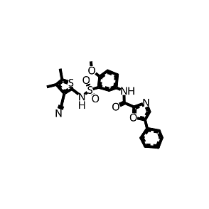 COc1ccc(NC(=O)c2ncc(-c3ccccc3)o2)cc1S(=O)(=O)Nc1sc(C)c(C)c1C#N